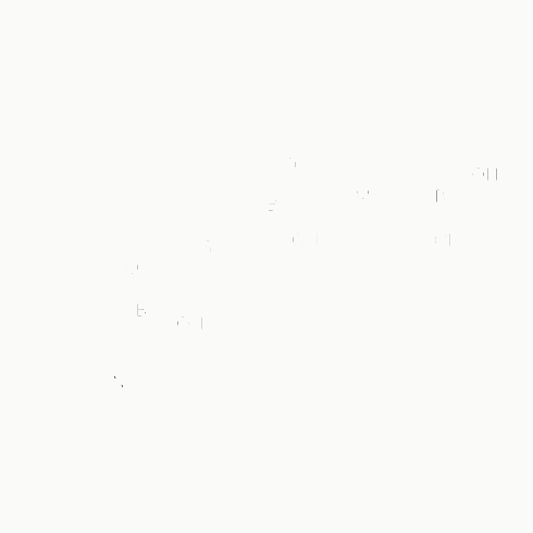 OB(Oc1ccc(B(O)Oc2ccc(B(O)O)o2)s1)c1ccccn1